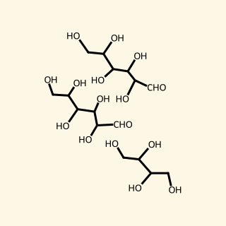 O=CC(O)C(O)C(O)C(O)CO.O=CC(O)C(O)C(O)C(O)CO.OCC(O)C(O)CO